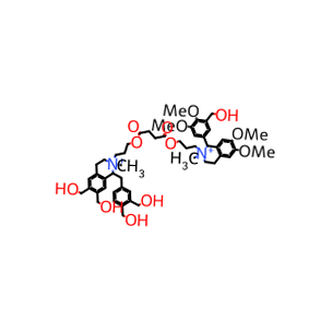 COc1cc2c(cc1OC)C(c1cc(CO)c(OC)c(OC)c1)[N+](C)(CCCOC(=O)CCC(=O)OCCC[N+]1(C)CCc3cc(CO)c(CO)cc3C1Cc1ccc(CO)c(CO)c1)CC2